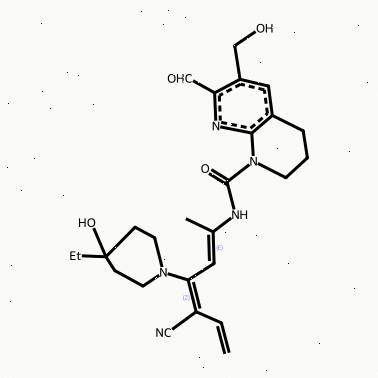 C=C/C(C#N)=C(\C=C(/C)NC(=O)N1CCCc2cc(CO)c(C=O)nc21)N1CCC(O)(CC)CC1